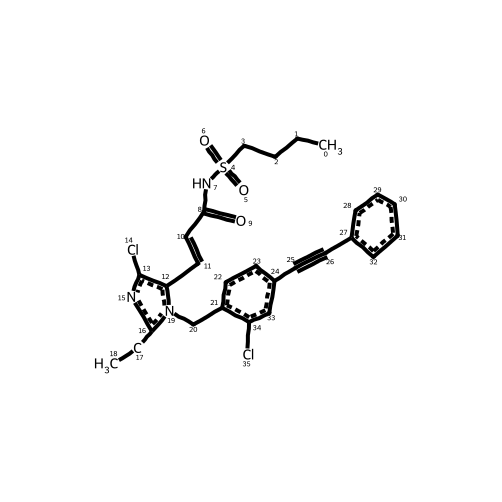 CCCCS(=O)(=O)NC(=O)C=Cc1c(Cl)nc(CC)n1Cc1ccc(C#Cc2ccccc2)cc1Cl